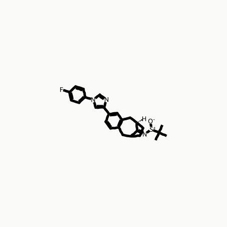 CC(C)(C)[S+]([O-])/N=C1/C2CC[C@@H]1Cc1cc(-c3cn(-c4ccc(F)cc4)cn3)ccc1C2